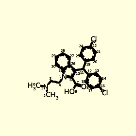 CN(C)CCn1c(C(=O)O)c(C(c2ccc(Cl)cc2)c2ccc(Cl)cc2)c2ccccc21